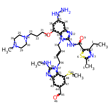 CCc1nc(C)sc1C(=O)Nc1nc2cc(NN)cc(OCCCN3CCN(C)CC3)c2n1C/C=C/Cn1c(NC)nc2cc(C=O)cc(SC)c21